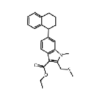 CCOC(=O)c1c(CSC)n(C)c2cc(C3CCCc4ccccc43)ccc12